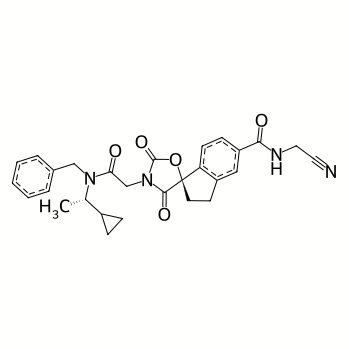 C[C@@H](C1CC1)N(Cc1ccccc1)C(=O)CN1C(=O)O[C@@]2(CCc3cc(C(=O)NCC#N)ccc32)C1=O